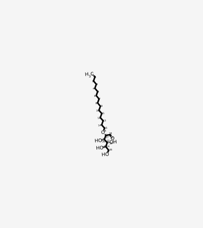 CCCCCCCCCCCCCCCCO[C@H](C=O)[C@@H](O)[C@H](O)[C@H](O)CO